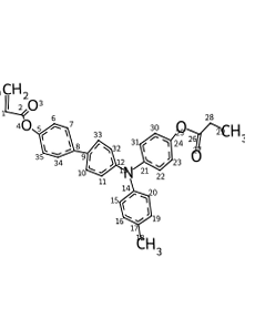 C=CC(=O)Oc1ccc(-c2ccc(N(c3ccc(C)cc3)c3ccc(OC(=O)CC)cc3)cc2)cc1